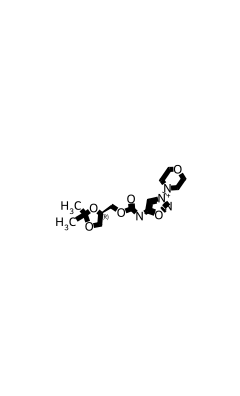 CC1(C)OC[C@H](COC(=O)[N-]c2c[n+](N3CCOCC3)no2)O1